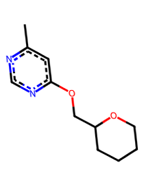 Cc1cc(OCC2CCCCO2)ncn1